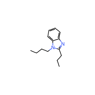 CCCCn1c(CCC)nc2ccccc21